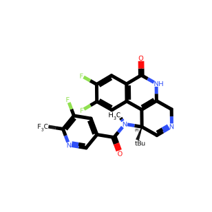 CN(C(=O)c1cnc(C(F)(F)F)c(F)c1)[C@@]1(C(C)(C)C)C=NCc2[nH]c(=O)c3cc(F)c(F)cc3c21